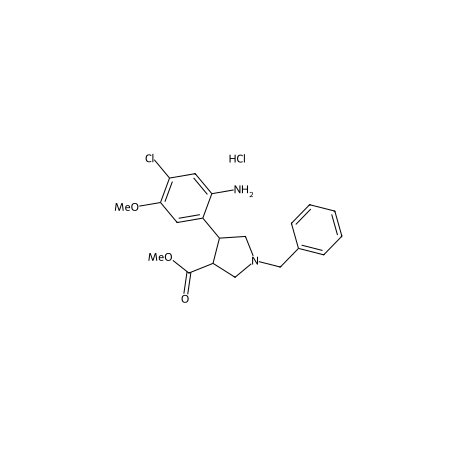 COC(=O)C1CN(Cc2ccccc2)CC1c1cc(OC)c(Cl)cc1N.Cl